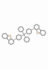 c1ccc([Si](c2ccccc2)(c2ccc(-c3cccc4c3sc3ccccc34)cc2)c2ccc(-c3cccc4c3sc3ccccc34)cc2)cc1